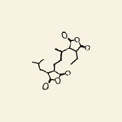 CCC1C(=O)OC(=O)C1C(C)CCC1C(=O)OC(=O)C1CC(C)C